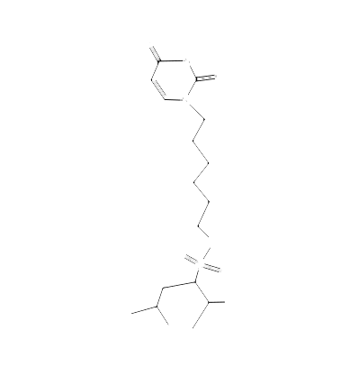 CC(C)CC(C(C)C)S(=O)(=O)OCCCCCCn1ccc(=S)[nH]c1=O